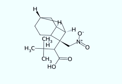 CC(C)(C)C(C(=O)O)[C@@]1(C[N+](=O)[O-])[C@@H]2C[C@@H]3CC[C@H]1[C@H]2C3